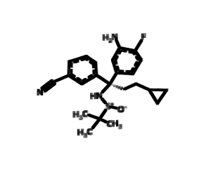 CC(C)(C)[S+]([O-])N[C@@](CCC1CC1)(c1cccc(C#N)c1)c1ccc(F)c(N)c1